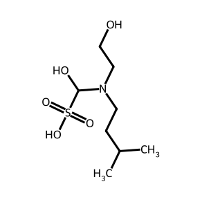 CC(C)CCN(CCO)C(O)S(=O)(=O)O